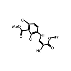 COC(=O)c1c(Cl)ccc(NC=C(C#N)C(=O)OC(C)C)c1Cl